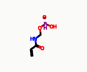 C=CC(=O)NCO[PH](=O)O